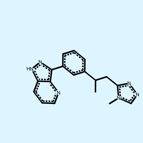 CC(Cc1nncn1C)c1cccc(-c2n[nH]c3cccnc23)c1